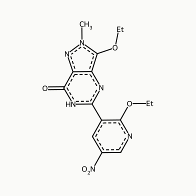 CCOc1ncc([N+](=O)[O-])cc1-c1nc2c(OCC)n(C)nc2c(=O)[nH]1